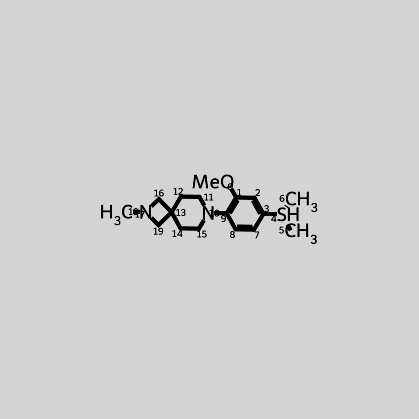 COc1cc([SH](C)C)ccc1N1CCC2(CC1)CN(C)C2